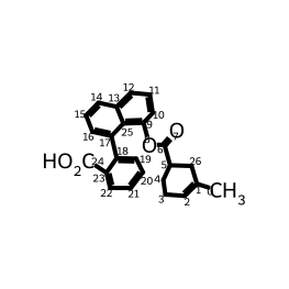 CC1=CCCC(C(=O)Oc2cccc3cccc(-c4ccccc4C(=O)O)c23)C1